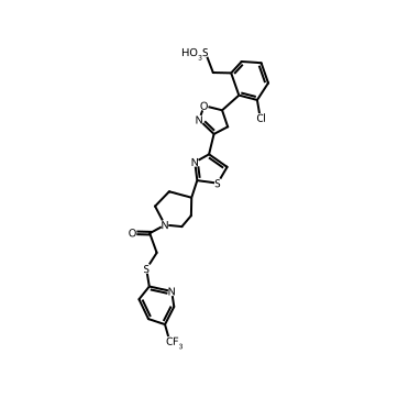 O=C(CSc1ccc(C(F)(F)F)cn1)N1CCC(c2nc(C3=NOC(c4c(Cl)cccc4CS(=O)(=O)O)C3)cs2)CC1